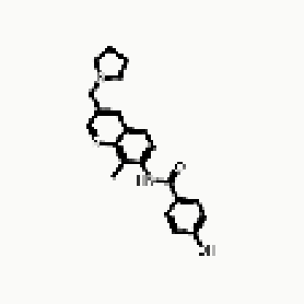 Cc1c(NC(=O)c2ccc(O)cc2)ccc2cc(CN3CCCC3)cnc12